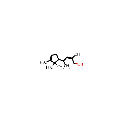 CC(=CC(C)C1CC=C(C)C1(C)C)CO